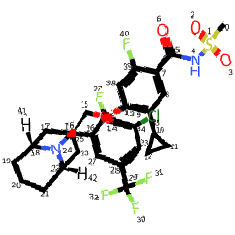 CS(=O)(=O)NC(=O)c1cc(C2CC2)c(OC[C@@H]2C[C@H]3CCC[C@@H](C2)N3Cc2cc(C(F)(F)F)cc(Cl)c2F)cc1F